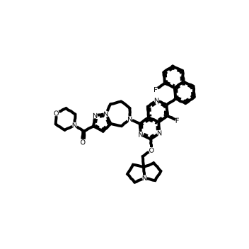 O=C(c1cc2n(n1)CCCN(c1nc(OCC34CCCN3CCC4)nc3c(F)c(-c4cccc5cccc(F)c45)ncc13)C2)N1CCOCC1